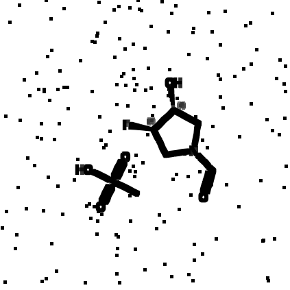 CS(=O)(=O)O.O=CN1C[C@@H](O)[C@H](F)C1